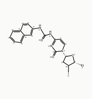 CC[C@H]1O[C@@H](n2ccc(NC(=O)Nc3ccc4ccccc4c3)nc2=O)CC1I